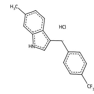 Cc1ccc2c([CH]c3ccc(C(F)(F)F)cc3)c[nH]c2c1.Cl